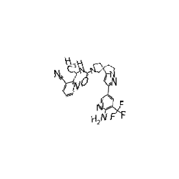 CC(NC(=O)N1CCC2(CCn3nc(-c4cnc(N)c(C(F)(F)F)c4)cc32)C1)c1ncccc1C#N